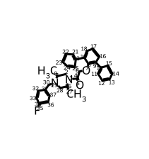 CC1CN(C(=O)COc2c(-c3ccccc3)cccc2-c2ccccc2)C(C)CN1Cc1ccc(F)cc1